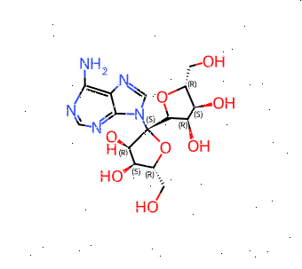 Nc1ncnc2c1ncn2[C@]1(C2O[C@H](CO)[C@@H](O)[C@H]2O)O[C@H](CO)[C@@H](O)[C@H]1O